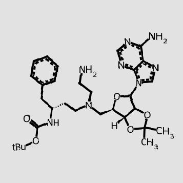 CC(C)(C)OC(=O)N[C@@H](CCN(CCN)C[C@H]1OC(n2cnc3c(N)ncnc32)C2OC(C)(C)O[C@@H]21)Cc1ccccc1